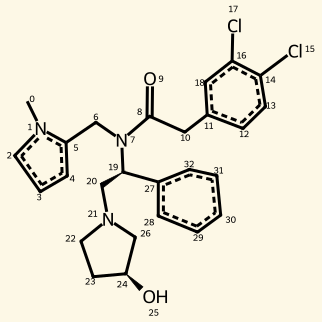 Cn1cccc1CN(C(=O)Cc1ccc(Cl)c(Cl)c1)[C@H](CN1CC[C@H](O)C1)c1ccccc1